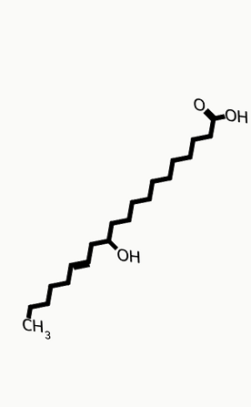 CCCCCC=CCC(O)CCCCCCCCCCC(=O)O